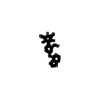 Cc1c(-c2ccc(Oc3nccc4occc34)cc2CF)n(C)c(=O)[nH]c1=O